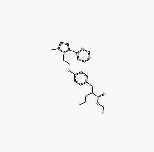 CCOC(=O)C(Cc1ccc(OCCn2c(C)ccc2-c2ccccn2)cc1)OCC